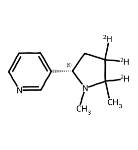 [2H]C1([2H])C[C@@H](c2cccnc2)N(C)C1([2H])C